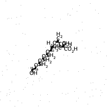 C=C(C)C(=O)O.C=C(C)C(=O)O.OCCO[SiH2]O[SiH2]O[SiH2]OCCO